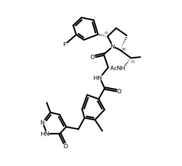 CC(=O)N[C@@H](C)[C@H]1CC[C@@H](c2cccc(F)c2)N1C(=O)CNC(=O)c1ccc(Cc2cc(C)n[nH]c2=O)c(C)c1